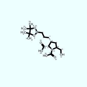 CC1(C)OB(CCC[C@@H]2CC(CO)N(C(=O)O)[C@@H]2C(=O)O)OC1(C)C